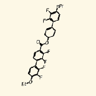 CCCc1ccc(C2=CCC(OC(=O)c3ccc(-c4ccc(OCC)c(F)c4F)c(F)c3F)CC2)c(F)c1F